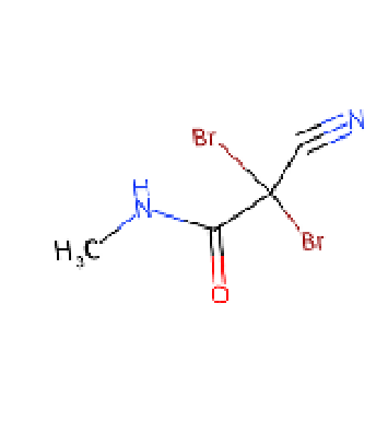 CNC(=O)C(Br)(Br)C#N